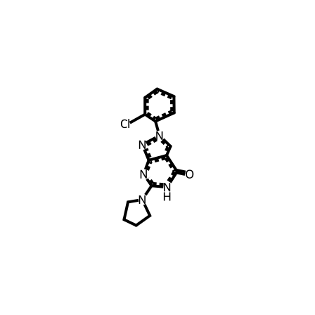 O=c1[nH]c(N2CCCC2)nc2nn(-c3ccccc3Cl)cc12